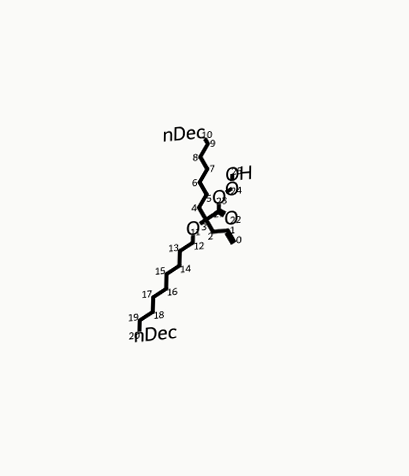 C=CCC(CCCCCCCCCCCCCCCC)(OCCCCCCCCCCCCCCCCCC)C(=O)OOO